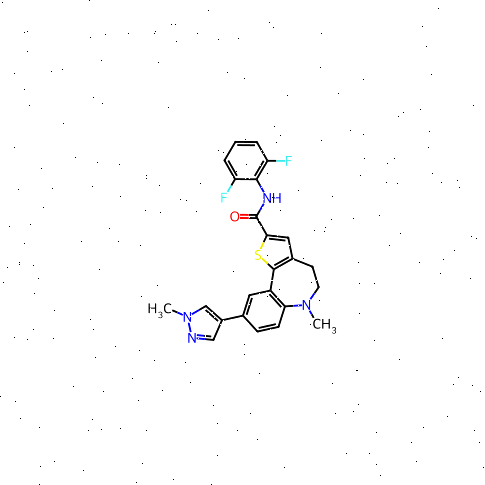 CN1CCc2cc(C(=O)Nc3c(F)cccc3F)sc2-c2cc(-c3cnn(C)c3)ccc21